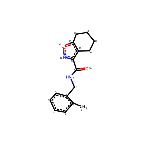 Cc1ccccc1CNC(=O)c1noc2c1CCCC2